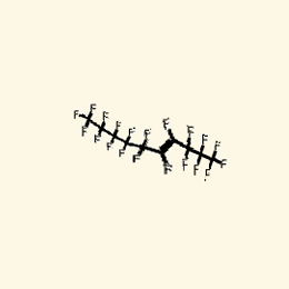 FC(=C(F)C(F)(F)C(F)(F)C(F)(F)C(F)(F)C(F)(F)F)C(F)(F)C(F)(F)C(F)(F)F